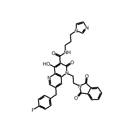 O=C(NCCCn1ccnc1)c1c(O)c2ncc(Cc3ccc(F)cc3)cc2n(CCN2C(=O)c3ccccc3C2=O)c1=O